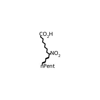 CCCCCC=CC=CC(CCCCCCCC(=O)O)[N+](=O)[O-]